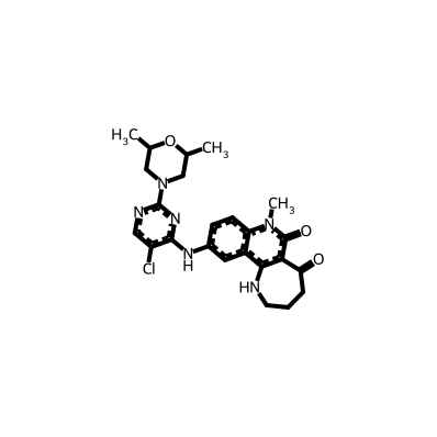 CC1CN(c2ncc(Cl)c(Nc3ccc4c(c3)c3c(c(=O)n4C)C(=O)CCCN3)n2)CC(C)O1